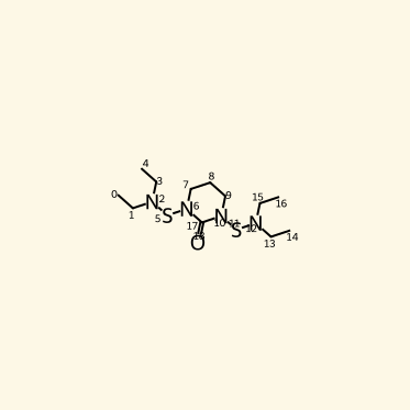 CCN(CC)SN1CCCN(SN(CC)CC)C1=O